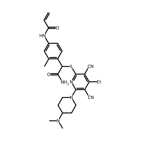 C=CC(=O)Nc1ccc(C(Sc2nc(N3CCC(N(C)C)CC3)c(C#N)c(CC)c2C#N)C(N)=O)c(C)c1